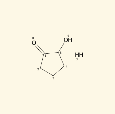 O=C1CCCC1O.[HH]